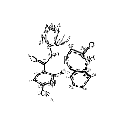 Cn1nnnc1NC(=O)c1ccc(C(F)(F)F)nc1Cl.O=c1cnc2ccccc2[nH]1